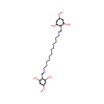 COc1cc(O)c(C=NCCCCCCCCCCCCN=Cc2c(O)cc(OC)cc2OC)c(OC)c1